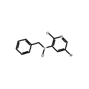 [O-][S+](Cc1ccccc1)c1cc(Br)cnc1Cl